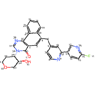 O=c1c2cc(Cc3ccnc(-c4ccc(F)nc4)c3)c3ccccc3c2ncn1[C@H]1CCOC[C@@H]1O